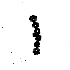 CC1(C)c2cc(-c3ccc(B4OC(C)(C)C(C)(C)O4)cc3)ccc2-c2ccc(-c3ccc(B4OC(C)(C)C(C)(C)O4)cc3)cc21